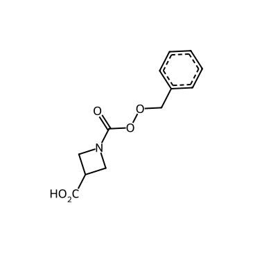 O=C(O)C1CN(C(=O)OOCc2ccccc2)C1